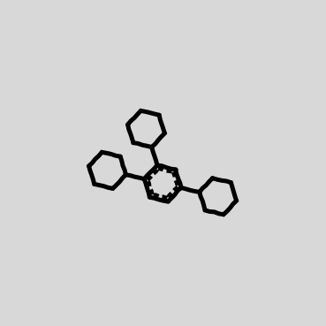 [c]1c(C2CCCCC2)ccc(C2CCCCC2)c1C1CCCCC1